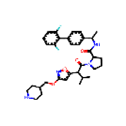 CC(NC(=O)C1CCCN1C(=O)C(c1cc(OCC2CCNCC2)no1)C(C)C)c1ccc(-c2c(F)cccc2F)cc1